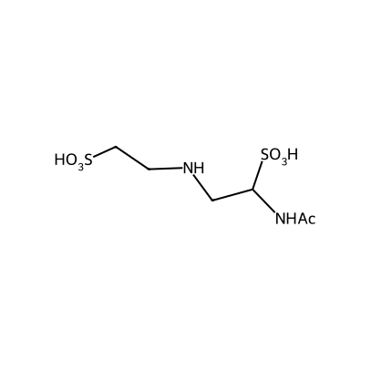 CC(=O)NC(CNCCS(=O)(=O)O)S(=O)(=O)O